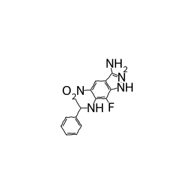 CC(Nc1c([N+](=O)[O-])cc2c(N)n[nH]c2c1F)c1ccccc1